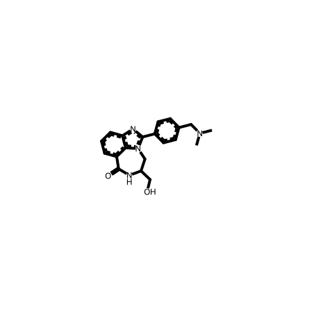 CN(C)Cc1ccc(-c2nc3cccc4c3n2CC(CO)NC4=O)cc1